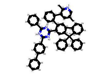 Cc1cnc(C)c(-c2ccccc2-c2cc3c(cc2-c2nc(-c4ccccc4)nc(-c4ccc(-c5ccccc5)cc4)n2)C(c2ccccc2)(c2ccccc2)c2ccccc2-3)c1